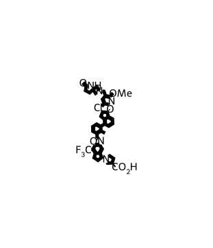 COc1nc(O[C@H]2CCc3c(-c4cccc(-c5nc6cc7c(c(C(F)(F)F)c6o5)CC[C@H]7N5CC[C@@H](C(=O)O)C5)c4C)cccc32)c(Cl)cc1CN1CC2(CCC(=O)N2)C1